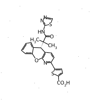 CC(C)(C(=O)Nc1nncs1)[C@H]1c2ccccc2Oc2nc(-c3ccc(C(=O)O)s3)ccc21